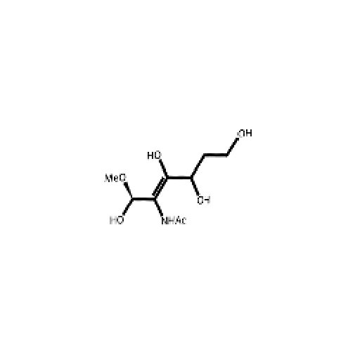 CO[C@H](O)/C(NC(C)=O)=C(\O)C(O)CCO